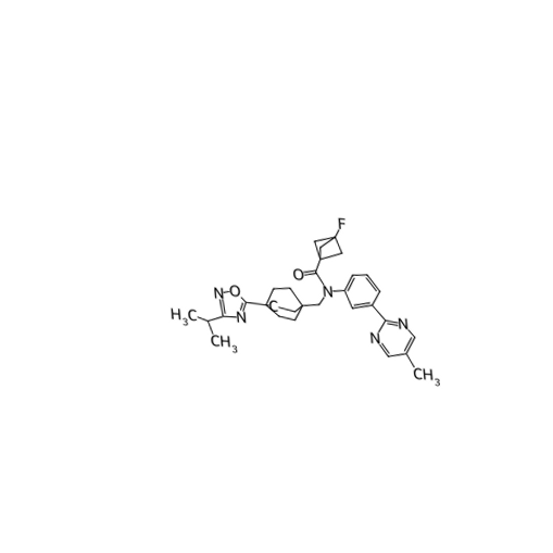 Cc1cnc(-c2cccc(N(CC34CCC(c5nc(C(C)C)no5)(CC3)CC4)C(=O)C34CC(F)(C3)C4)c2)nc1